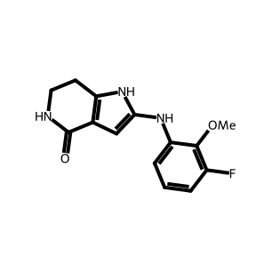 COc1c(F)cccc1Nc1cc2c([nH]1)CCNC2=O